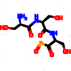 N[C@@H](CO)C(=O)N[C@@H](CO)C(=O)N[C@@H](CO)C(=O)P=O